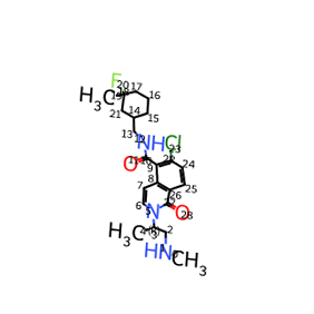 CNC[C@@H](C)n1ccc2c(C(=O)NCC3CCCC(C)(F)C3)c(Cl)ccc2c1=O